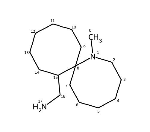 CN1CCCCCCC12CCCCCCC2CN